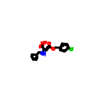 O=C(CC(NCc1ccccc1)C(=O)O)OCc1ccc(Cl)cc1